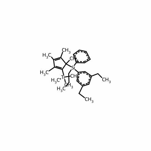 CCC[Si](c1ccccc1)(c1cc(CC)cc(CC)c1)C1(C)C(C)=C(C)C(C)=[C]1[Ti]([CH3])([CH3])[CH3]